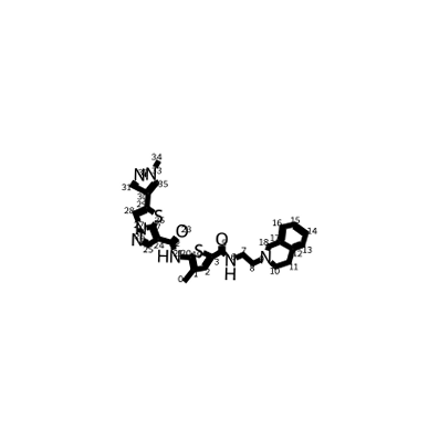 Cc1cc(C(=O)NCCN2CCc3ccccc3C2)sc1NC(=O)c1cnn2cc(-c3cnn(C)c3)sc12